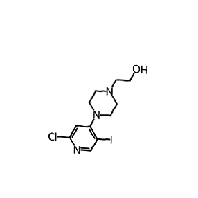 OCCN1CCN(c2cc(Cl)ncc2I)CC1